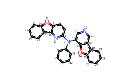 c1ccc(N(c2ccc3oc4ccccc4c3n2)c2cncc3c2oc2ccccc23)cc1